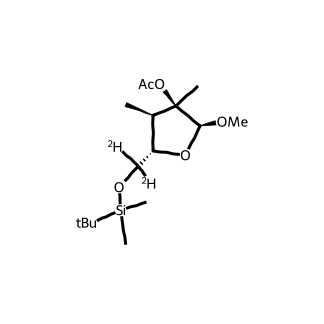 [2H]C([2H])(O[Si](C)(C)C(C)(C)C)[C@H]1O[C@H](OC)[C@](C)(OC(C)=O)[C@@H]1C